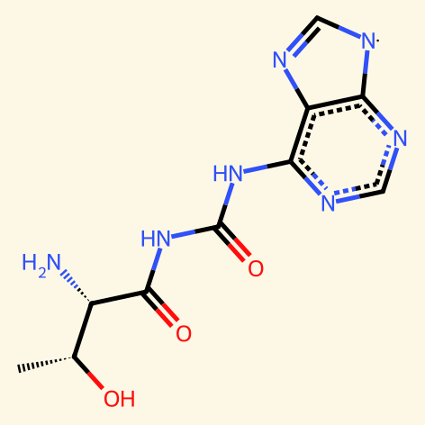 C[C@@H](O)[C@H](N)C(=O)NC(=O)Nc1ncnc2c1N=C[N]2